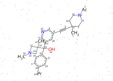 CC(=O)N1CCC(C)(C#Cc2cncc(C(O)(c3ccc(C(C)C)cc3)C3(C)CN(C)C3)c2)CC1